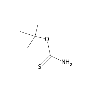 CC(C)(C)OC(N)=S